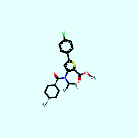 COC(=O)c1sc(-c2ccc(Cl)cc2)cc1N(C(=O)[C@H]1CC[C@H](C)CC1)C(C)C